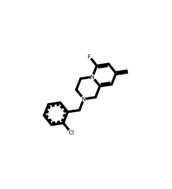 C=C1C=C(F)N2CCN(Cc3ccccc3Cl)CC2=C1